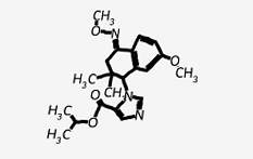 CON=C1CC(C)(C)C(n2cncc2C(=O)OC(C)C)c2cc(OC)ccc21